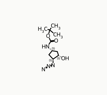 CC(C)(C)OC(=O)N[C@H]1C[C@H](N=[N+]=[N-])[C@@H](O)C1